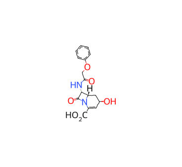 O=C(COc1ccccc1)N[C@H]1C(=O)N2C(C(=O)O)=C[C@H](O)C[C@@H]12